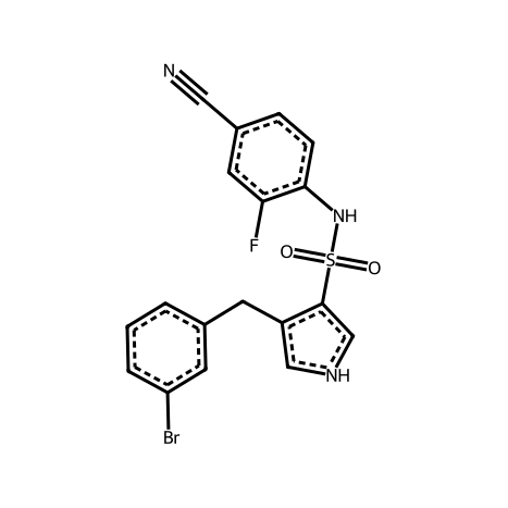 N#Cc1ccc(NS(=O)(=O)c2c[nH]cc2Cc2cccc(Br)c2)c(F)c1